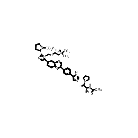 COC(=O)N[C@H](C(=O)N1CCC[C@H]1c1ncc(-c2ccc(-c3cnc4cc(-c5cnc([C@@H]6CCCN6C(=O)O)n5COCC[Si](C)(C)C)ccc4n3)cc2)[nH]1)C(C)C